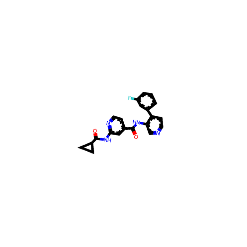 O=C(Nc1cnccc1-c1cccc(F)c1)c1ccnc(NC(=O)C2CC2)c1